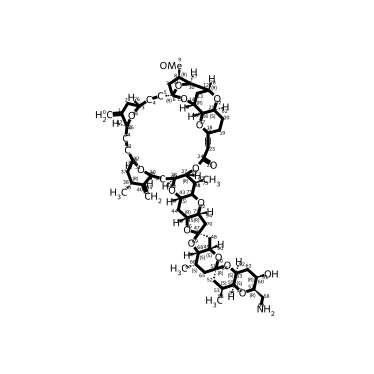 C=C1C[C@@H]2CC[C@]34C[C@@H](OC)[C@H](O3)[C@H]3C[C@@H](O4)[C@H]4O[C@H](CC[C@@H]4O3)CC(=O)O[C@H]3[C@H](C[C@H]4O[C@@H](CC[C@@H]1O2)C[C@@H](C)C4=C)O[C@H]1C[C@H]2O[C@@]4(C[C@@H]5O[C@]6(C[C@H](C)[C@@H]7O[C@H](CN)[C@H](O)C[C@@H]7O6)C[C@H](C)[C@@H]5O4)C[C@H]2OC1[C@@H]3C